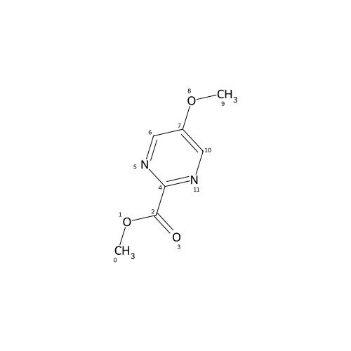 COC(=O)c1ncc(OC)cn1